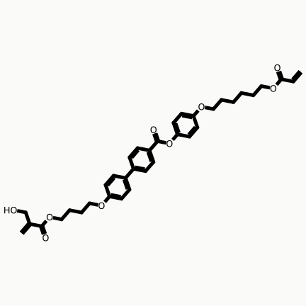 C=CC(=O)OCCCCCCOc1ccc(OC(=O)c2ccc(-c3ccc(OCCCCOC(=O)C(=C)CO)cc3)cc2)cc1